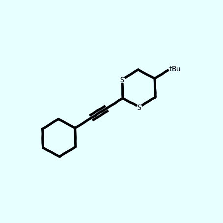 CC(C)(C)C1CSC(C#CC2CCCCC2)SC1